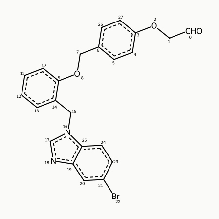 O=CCOc1ccc(COc2ccccc2Cn2cnc3cc(Br)ccc32)cc1